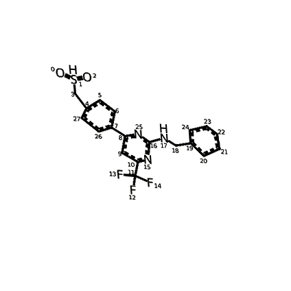 O=[SH](=O)Cc1ccc(-c2cc(C(F)(F)F)nc(NCc3ccccc3)n2)cc1